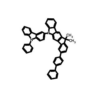 CC1(C)c2ccc(-c3ccc(-c4ccccc4)cc3)cc2-c2cc3c(cc21)c1ccccc1n3-c1ccc2c(c1)c1ccccc1n2-c1ccccc1